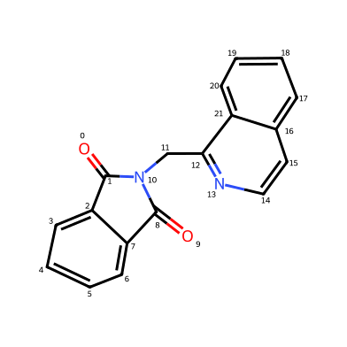 O=C1c2ccccc2C(=O)N1Cc1nccc2ccccc12